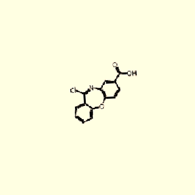 O=C(O)c1ccc2c(c1)N=C(Cl)c1ccccc1O2